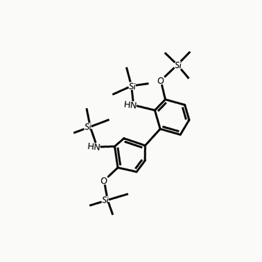 C[Si](C)(C)Nc1cc(-c2cccc(O[Si](C)(C)C)c2N[Si](C)(C)C)ccc1O[Si](C)(C)C